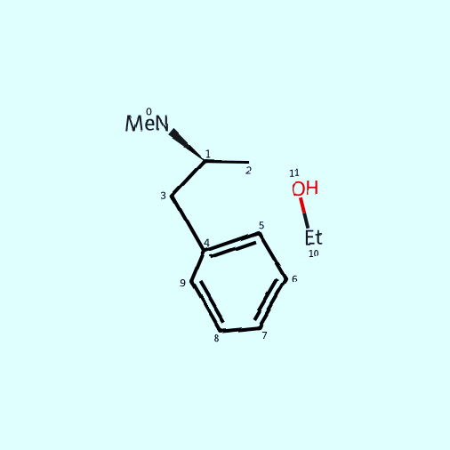 CN[C@@H](C)Cc1ccccc1.[CH2]CO